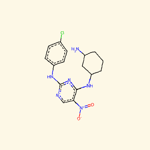 NC1CCCC(Nc2nc(Nc3ccc(Cl)cc3)ncc2[N+](=O)[O-])C1